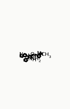 Cn1cnc2c(CNC(=O)c3nc(-c4ccc5ncccc5c4)c(-c4ccccc4)nc3N)cccc21